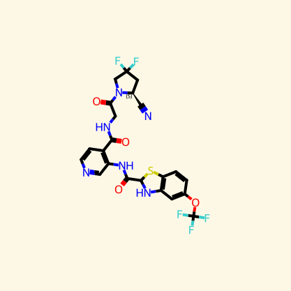 N#C[C@@H]1CC(F)(F)CN1C(=O)CNC(=O)c1ccncc1NC(=O)C1Nc2cc(OC(F)(F)F)ccc2S1